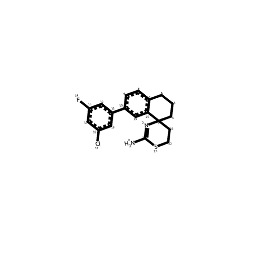 NC1=NC2(CCCc3ccc(-c4cc(F)cc(Cl)c4)cc32)CCS1